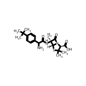 CC(C)(C)c1ccc(C(N)C(=O)N[C@@]2(C)C(=O)N3[C@@H](C(=O)O)C(C)(C)S[C@@H]32)cc1